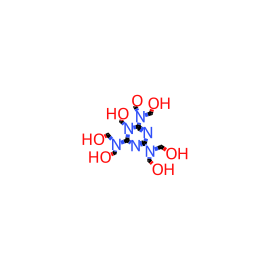 O=CN(CO)C1=NC(N(CO)CO)=NC(N(CO)CO)N1CO